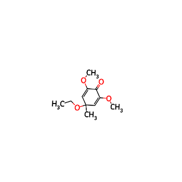 CCOC1(C)C=C(OC)C(=O)C(OC)=C1